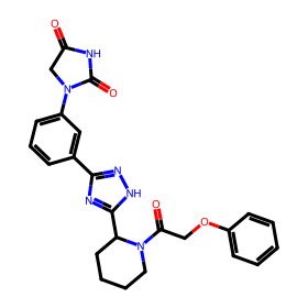 O=C1CN(c2cccc(-c3n[nH]c(C4CCCCN4C(=O)COc4ccccc4)n3)c2)C(=O)N1